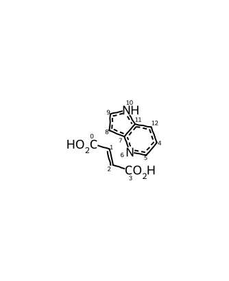 O=C(O)C=CC(=O)O.c1cnc2cc[nH]c2c1